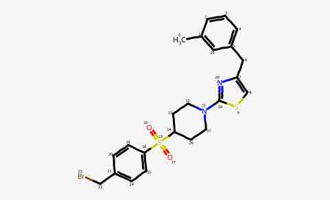 Cc1cccc(Cc2csc(N3CCC(S(=O)(=O)c4ccc(CBr)cc4)CC3)n2)c1